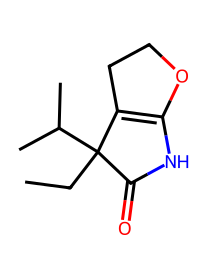 CCC1(C(C)C)C(=O)NC2=C1CCO2